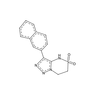 O=S1(=O)CCn2nnc(-c3ccc4ccccc4c3)c2N1